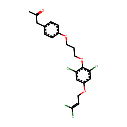 CC(=O)Cc1ccc(OCCCOc2c(Cl)cc(OCC=C(Cl)Cl)cc2Cl)cc1